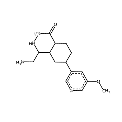 COc1cncc(C2CCC3C(=O)NNC(CN)C3C2)c1